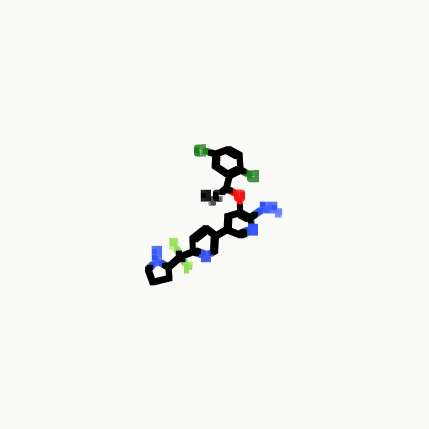 CC(Oc1cc(-c2ccc(C(F)(F)C3CCCN3)nc2)cnc1N)c1cc(Cl)ccc1Cl